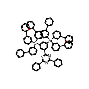 c1ccc(-c2cccc([Si](c3cccc(-c4ccccc4)c3)(c3cccc(-c4ccccc4)c3)c3cc(-c4nc(-c5ccccc5)nc(-c5ccccc5)n4)cc([Si](c4cccc(-c5ccccc5)c4)(c4cccc(-c5ccccc5)c4)c4cccc(-c5ccccc5)c4)c3)c2)cc1